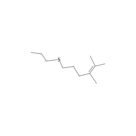 CC[CH]SCCCC(C)=C(C)C